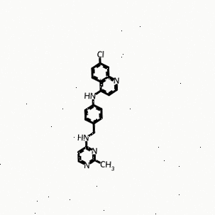 Cc1nccc(NCc2ccc(Nc3ccnc4cc(Cl)ccc34)cc2)n1